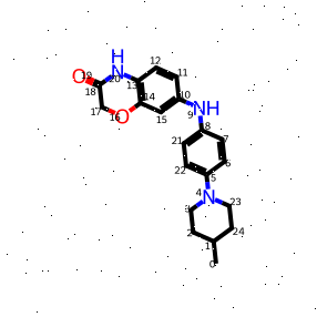 CC1CCN(c2ccc(Nc3ccc4c(c3)OCC(=O)N4)cc2)CC1